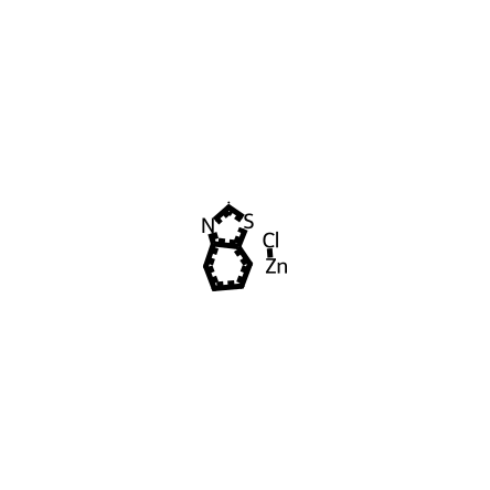 [Cl][Zn].[c]1nc2ccccc2s1